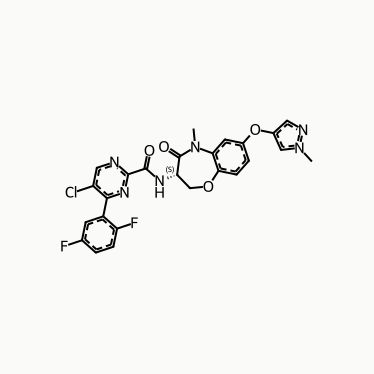 CN1C(=O)[C@@H](NC(=O)c2ncc(Cl)c(-c3cc(F)ccc3F)n2)COc2ccc(Oc3cnn(C)c3)cc21